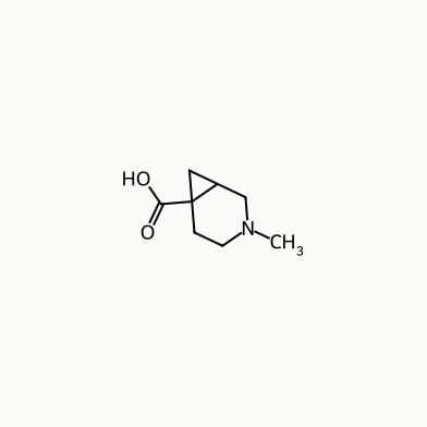 CN1CCC2(C(=O)O)CC2C1